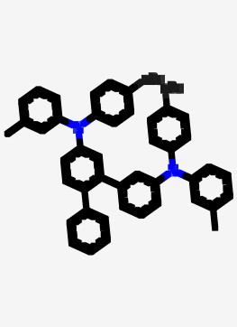 CCCCc1ccc(N(c2cccc(C)c2)c2cccc(-c3cc(N(c4ccc(CCCC)cc4)c4cccc(C)c4)ccc3-c3ccccc3)c2)cc1